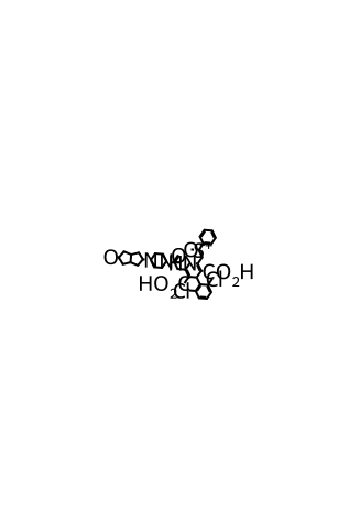 O=C1CC2CC(N3CCN(C(=O)CC4=C(C(=O)O)C(c5c(Cl)cccc5Cl)C(C(=O)O)=C(C[S+]([O-])c5ccccc5)N4)CC3)CC2C1